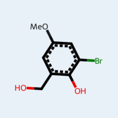 COc1cc(Br)c(O)c(CO)c1